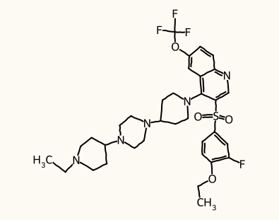 CCOc1ccc(S(=O)(=O)c2cnc3ccc(OC(F)(F)F)cc3c2N2CCC(N3CCN(C4CCN(CC)CC4)CC3)CC2)cc1F